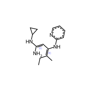 CC/C(C)=C(\C=C(/N)NC1CC1)Nc1ccccn1